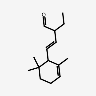 CCC(C=O)C=CC1C(C)=CCCC1(C)C